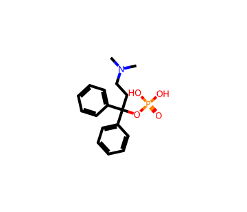 CN(C)CCC(OP(=O)(O)O)(c1ccccc1)c1ccccc1